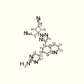 N#CCC1(n2ncc(-c3cc(-c4cnc(N)nc4)cc4ncccc34)n2)CC(C#N)C1